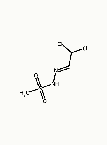 CS(=O)(=O)NN=CC(Cl)Cl